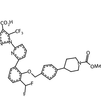 COC(=O)N1CCC(c2ccc(COc3c(-c4cccc(-n5ncc(C(=O)O)c5C(F)(F)F)n4)cccc3C(F)F)cc2)CC1